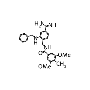 COc1cc(C(=O)NCc2ccc(C(=N)N)cc2NCc2ccccc2)cc(OC)c1C